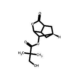 CC(C)(CO)C(=O)OC1C2OC(=O)C3C[C@@H]1CC32